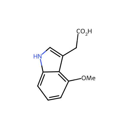 COc1cccc2[nH]cc(CC(=O)O)c12